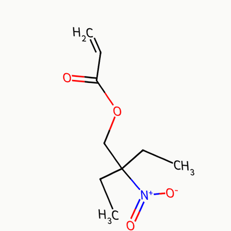 C=CC(=O)OCC(CC)(CC)[N+](=O)[O-]